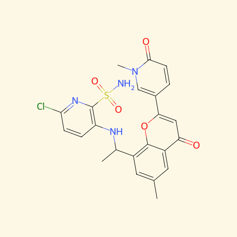 Cc1cc(C(C)Nc2ccc(Cl)nc2S(N)(=O)=O)c2oc(-c3ccc(=O)n(C)c3)cc(=O)c2c1